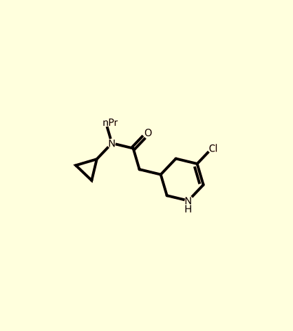 CCCN(C(=O)CC1CNC=C(Cl)C1)C1CC1